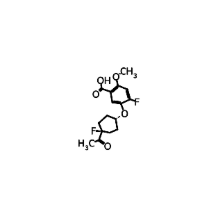 COc1cc(F)c(O[C@H]2CC[C@@](F)(C(C)=O)CC2)cc1C(=O)O